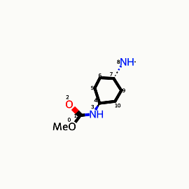 COC(=O)N[C@H]1CC[C@H]([NH])CC1